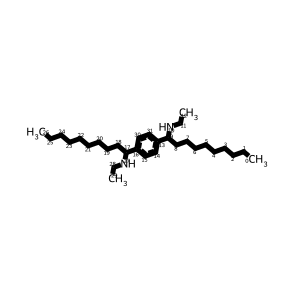 CCCCCCCCCC(NCC)c1ccc(C(CCCCCCCCC)NCC)cc1